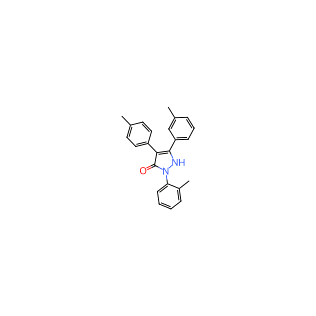 Cc1ccc(-c2c(-c3cccc(C)c3)[nH]n(-c3ccccc3C)c2=O)cc1